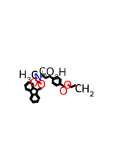 C=CCOC(=O)c1ccc(CC[C@@H](C(=O)O)N(C)C(=O)OCC2c3ccccc3-c3ccccc32)cc1